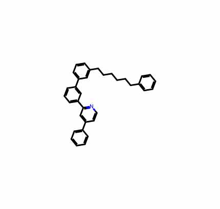 c1ccc(CCCCCCc2cccc(-c3cccc(-c4cc(-c5ccccc5)ccn4)c3)c2)cc1